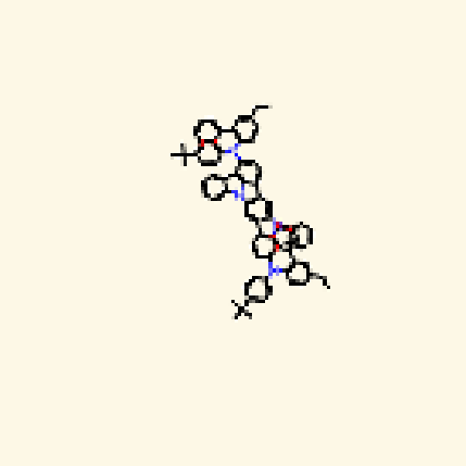 CCc1ccc(N(c2ccc(C(C)(C)C)cc2)c2ccc3c4cc5c(cc4n4c6ccccc6c2c34)c2ccc(N(c3ccc(C(C)(C)C)cc3)c3ccc(CC)cc3-c3ccccc3)c3c4ccccc4n5c23)c(-c2ccccc2)c1